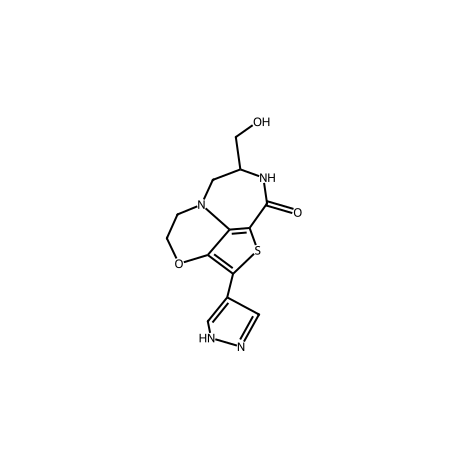 O=C1NC(CO)CN2CCOc3c(-c4cn[nH]c4)sc1c32